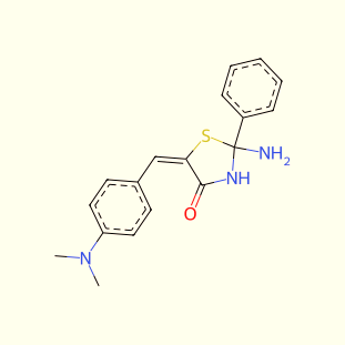 CN(C)c1ccc(C=C2SC(N)(c3ccccc3)NC2=O)cc1